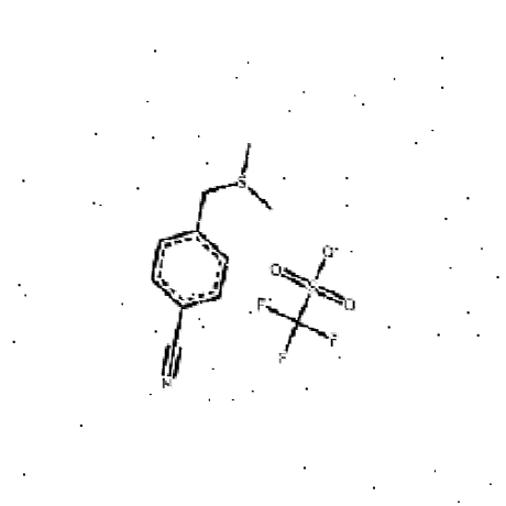 C[S+](C)Cc1ccc(C#N)cc1.O=S(=O)([O-])C(F)(F)F